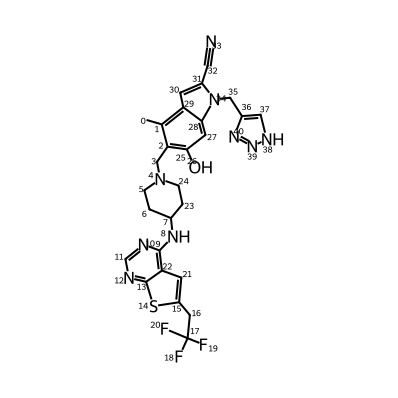 Cc1c(CN2CCC(Nc3ncnc4sc(CC(F)(F)F)cc34)CC2)c(O)cc2c1cc(C#N)n2Cc1c[nH]nn1